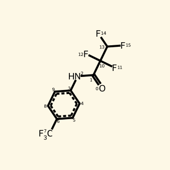 O=C(Nc1ccc(C(F)(F)F)cc1)C(F)(F)C(F)F